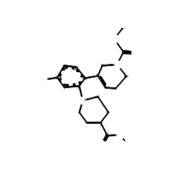 CC(C)OC(=O)N1CCC=C(c2ccc(C(F)(F)F)cc2N2CCC(C(=O)OC(C)(C)C)CC2)C1